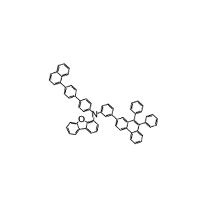 c1ccc(-c2c(-c3ccccc3)c3cc(-c4cccc(N(c5ccc(-c6ccc(-c7cccc8ccccc78)cc6)cc5)c5cccc6c5oc5ccccc56)c4)ccc3c3ccccc23)cc1